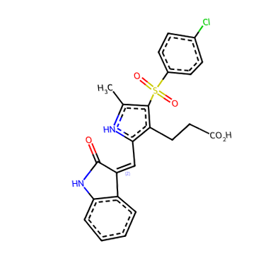 Cc1[nH]c(/C=C2\C(=O)Nc3ccccc32)c(CCC(=O)O)c1S(=O)(=O)c1ccc(Cl)cc1